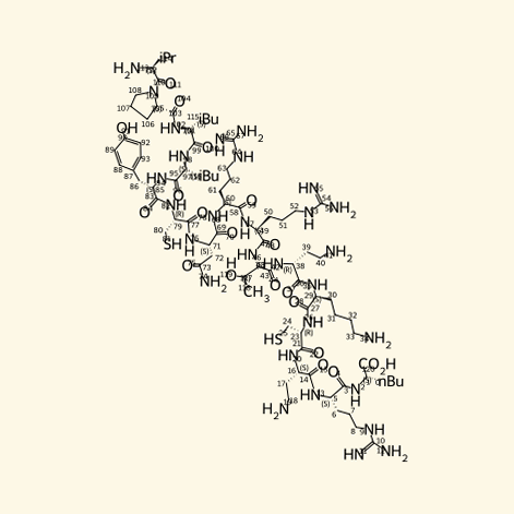 CCCC[C@H](NC(=O)[C@H](CCCNC(=N)N)NC(=O)[C@H](CCN)NC(=O)[C@H](CS)NC(=O)[C@H](CCCCN)NC(=O)[C@@H](CCN)NC(=O)[C@@H](NC(=O)[C@H](CCCNC(=N)N)NC(=O)[C@H](CCCNC(=N)N)NC(=O)[C@H](CC(N)=O)NC(=O)[C@H](CS)NC(=O)[C@H](Cc1ccc(O)cc1)NC(=O)[C@@H](NC(=O)[C@@H](NC(=O)[C@@H]1CCCN1C(=O)[C@@H](N)C(C)C)[C@@H](C)CC)[C@@H](C)CC)[C@@H](C)O)C(=O)O